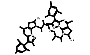 CCCC1Cc2c(C)nc3c(-c4c(C)cc(C)cc4C)c(C)nn3c2N1C(C)C(C)COCC(C)C(C)N1c2c(c(C)nc3c(-c4c(C)cc(C)cc4C)c(C)nn23)CC1CCC